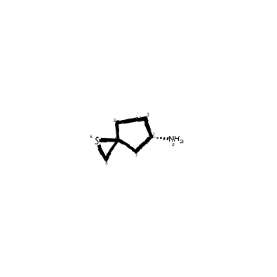 N[C@H]1CCC2(CS2)C1